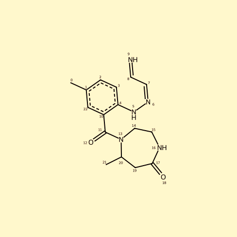 Cc1ccc(N/N=C\C=N)c(C(=O)N2CCNC(=O)CC2C)c1